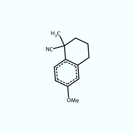 COc1ccc2c(c1)CCCC2(C)C#N